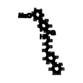 COc1cccc(-c2ccc(C(=O)NCCCCN3CCC(N4CCCCC4)CC3)cc2)c1